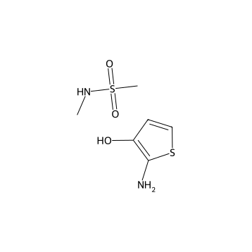 CNS(C)(=O)=O.Nc1sccc1O